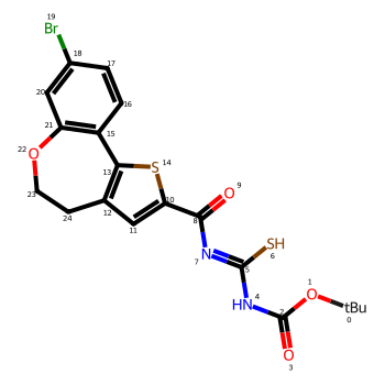 CC(C)(C)OC(=O)NC(S)=NC(=O)c1cc2c(s1)-c1ccc(Br)cc1OCC2